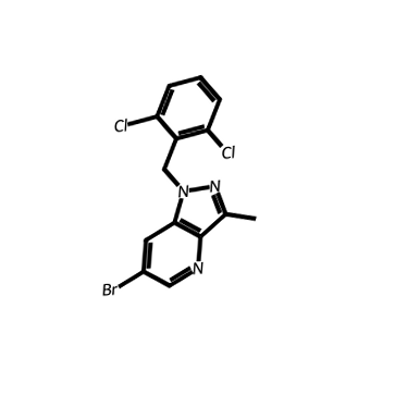 Cc1nn(Cc2c(Cl)cccc2Cl)c2cc(Br)cnc12